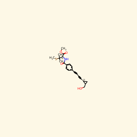 COC(=O)[C@@H](NC(=O)c1ccc(C#CC#C[C@H]2CC2CO)cc1)C(C)(C)SC